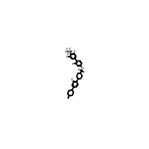 CC1CCC(c2ccc(C3CCC(C(F)(F)Oc4ccc(-c5cc(F)c(S(F)(F)(F)(F)F)c(F)c5)c(F)c4)CC3)c(F)c2)CC1